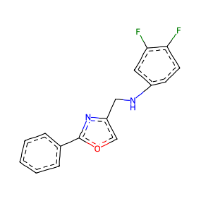 Fc1ccc(NCc2coc(-c3ccccc3)n2)cc1F